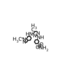 CCn1ncc2ccc(Nc3nc(Nc4cccc(S(N)(=O)=O)c4)ncc3C)cc21